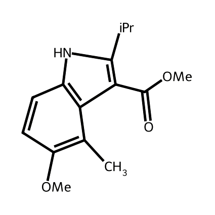 COC(=O)c1c(C(C)C)[nH]c2ccc(OC)c(C)c12